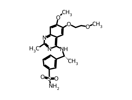 COCCOc1cc2c(N[C@H](C)c3cccc(S(N)(=O)=O)c3)nc(C)nc2cc1OC